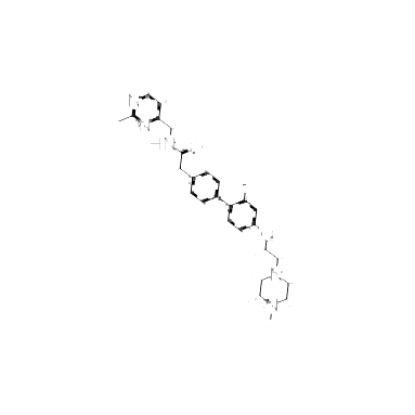 Cc1nccc(CNC(=O)Cc2ccc(-c3ccc(OCCN4CCN(C)CC4)cc3F)cc2)n1